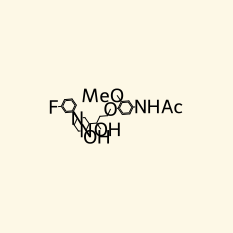 COc1cc(NC(C)=O)ccc1OCCC(O)C1CN(c2cccc(F)c2)CCN1O